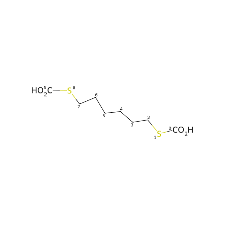 O=C(O)SCCCCCCSC(=O)O